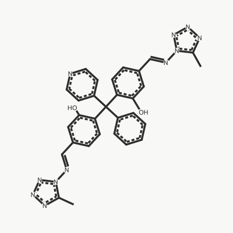 Cc1nnnn1N=Cc1ccc(C(c2ccccc2)(c2ccncc2)c2ccc(C=Nn3nnnc3C)cc2O)c(O)c1